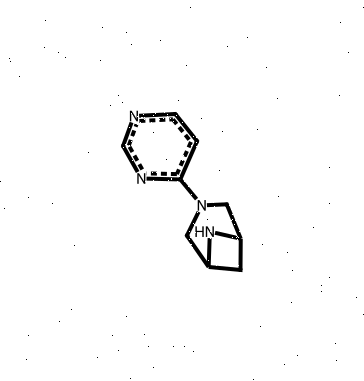 c1cc(N2CC3CC(C2)N3)ncn1